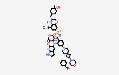 CC(C)c1ccccc1[C@@H]1COCCN1C1CC2(CCN(c3ccc(C(=O)NS(=O)(=O)c4cc5c(c([N+](=O)[O-])c4)N[C@H](CC4CCC(C)(O)CC4)CO5)c(N4c5cc6cc[nH]c6nc5O[C@H]5COCC[C@@H]54)c3)CC2)C1